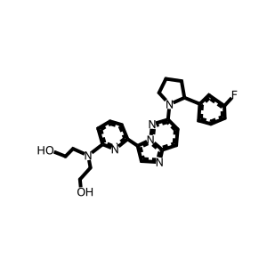 OCCN(CCO)c1cccc(-c2cnc3ccc(N4CCCC4c4cccc(F)c4)nn23)n1